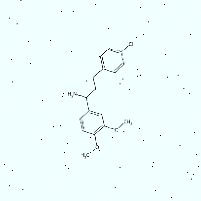 COc1ccc(C(N)CCc2ccc(Cl)cc2)cc1OC